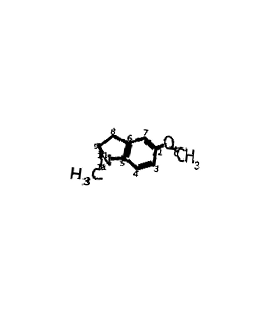 COc1ccc2c(c1)CCN2C